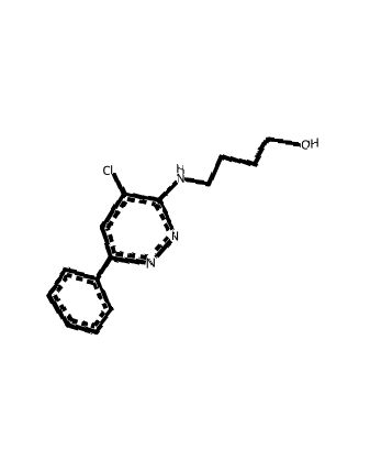 OCCCCNc1nnc(-c2ccccc2)cc1Cl